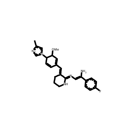 COC1C=C(\C=C2/CCCN/C2=N\C=C(/N)c2ccc(F)cc2)C=CC1n1cnc(C)c1